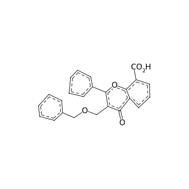 O=C(O)c1cccc2c(=O)c(COCc3ccccc3)c(-c3ccccc3)oc12